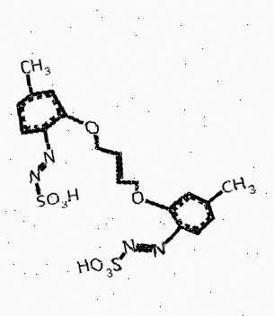 Cc1ccc(/N=N/S(=O)(=O)O)c(OC/C=C/COc2cc(C)ccc2/N=N/S(=O)(=O)O)c1